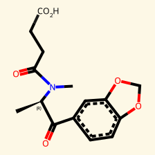 C[C@H](C(=O)c1ccc2c(c1)OCO2)N(C)C(=O)CCC(=O)O